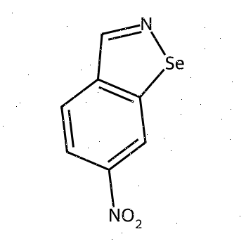 O=[N+]([O-])c1ccc2cn[se]c2c1